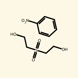 O=S(=O)(CCO)CCO.O=[N+]([O-])c1ccccc1